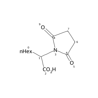 CCCCCCC(C(=O)O)N1C(=O)CCC1=O